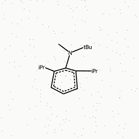 CC(C)c1cccc(C(C)C)c1N(C)C(C)(C)C